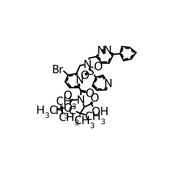 CC(C)(C)OC(=O)N(C(=O)c1ccc(Br)c(CN(Cc2ccc(-c3ccccc3)nn2)S(=O)(=O)c2cccnc2)n1)C(C(=O)O)C(C)(C)C